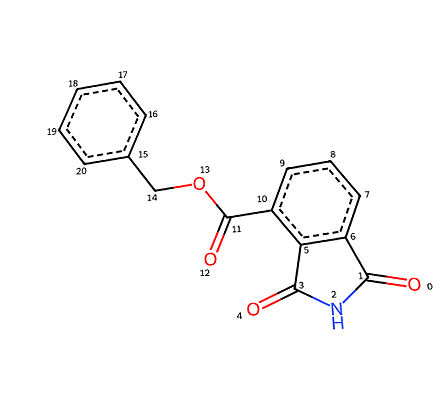 O=C1NC(=O)c2c1cccc2C(=O)OCc1ccccc1